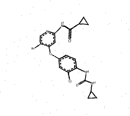 O=C(Nc1ccc(Oc2cc(NC(=O)C3CC3)ncc2Br)cc1Cl)NC1CC1